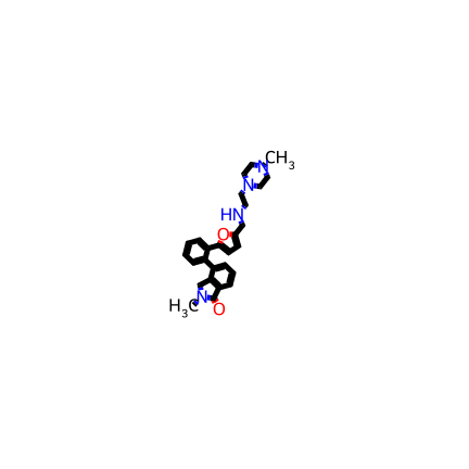 CN1CCN(CCNCc2ccc(-c3ccccc3-c3cccc4c3CN(C)C4=O)o2)CC1